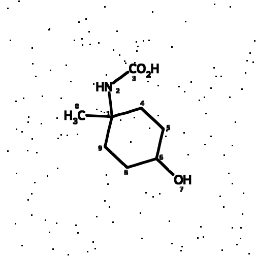 CC1(NC(=O)O)CCC(O)CC1